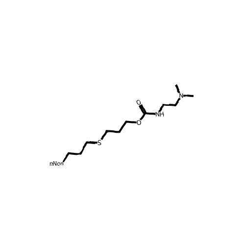 CCCCCCCCCCCCSCCCOC(=O)NCCN(C)C